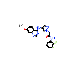 COc1ccc2c(Nc3cnn(CC(=O)Nc4cccc(F)c4F)c3)ncnc2c1